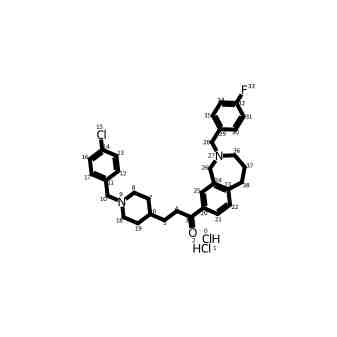 Cl.Cl.O=C(CCC1CCN(Cc2ccc(Cl)cc2)CC1)c1ccc2c(c1)CN(Cc1ccc(F)cc1)CCC2